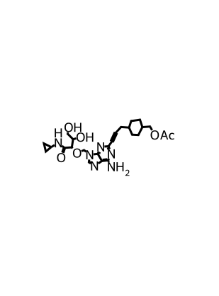 CC(=O)OCC1CCC(CC#Cc2nc(N)c3ncn(COC(C(=O)NC4CC4)C(O)CO)c3n2)CC1